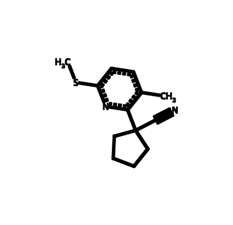 CSc1ccc(C)c(C2(C#N)CCCC2)n1